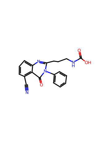 N#Cc1cccc2nc(CCCNC(=O)O)n(-c3ccccc3)c(=O)c12